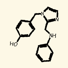 Oc1ccc(Cn2ccnc2CNc2ccccc2)cc1